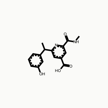 CNC(=O)c1cc(C(=O)O)cc(C(C)c2cccc(O)c2)n1